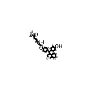 CCC(=C(c1ccc(O)cc1)c1ccc(OCCNCC=CC(=O)N(C)C)cc1)c1ccccc1Cl